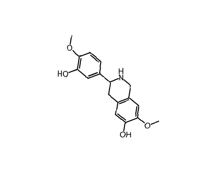 COc1ccc(C2Cc3cc(O)c(OC)cc3CN2)cc1O